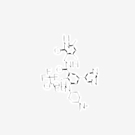 CCN(c1cc(-c2cncnc2)cc(C(=O)NCc2c(C)cc(C)[nH]c2=O)c1C)C1CCC(N(C)C)CC1.O=C(O)C(F)(F)F